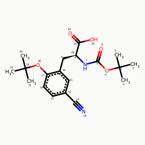 CC(C)(C)OC(=O)N[C@@H](Cc1cc(C#N)ccc1OC(C)(C)C)C(=O)O